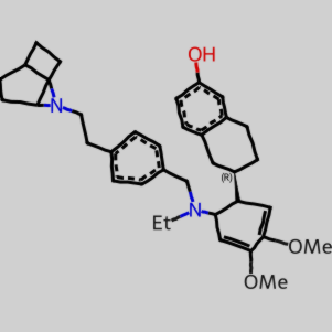 CCN(Cc1ccc(CCN2C3CCC4CCC432)cc1)C1C=C(OC)C(OC)=CC1[C@@H]1CCc2cc(O)ccc2C1